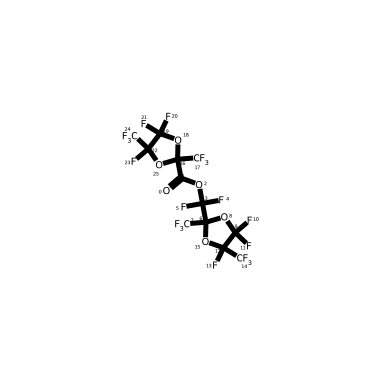 O=C(OC(F)(F)C1(C(F)(F)F)OC(F)(F)C(F)(C(F)(F)F)O1)C1(C(F)(F)F)OC(F)(F)C(F)(C(F)(F)F)O1